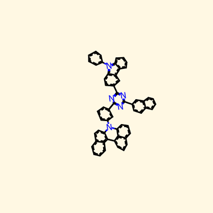 c1ccc(-n2c3ccccc3c3cc(-c4nc(-c5cccc(N6c7ccc8ccccc8c7-c7cccc8cccc6c78)c5)nc(-c5ccc6ccccc6c5)n4)ccc32)cc1